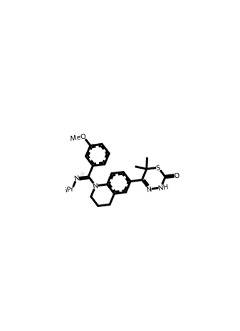 COc1cccc(/C(=N/C(C)C)N2CCCc3cc(C4=NNC(=O)SC4(C)C)ccc32)c1